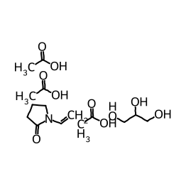 C=CN1CCCC1=O.CC(=O)O.CC(=O)O.CC(=O)O.OCC(O)CO